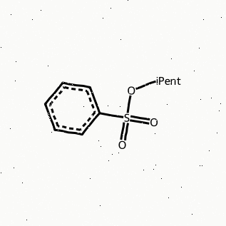 CCCC(C)OS(=O)(=O)c1ccccc1